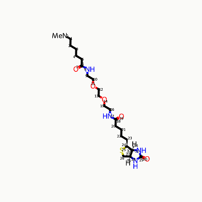 CNCCCCCC(=O)NCCOCCOCCNC(=O)CCCC[C@@H]1SC[C@@H]2NC(=O)N[C@@H]21